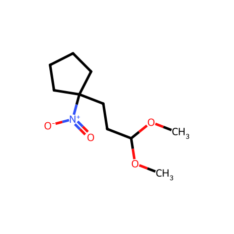 COC(CCC1([N+](=O)[O-])CCCC1)OC